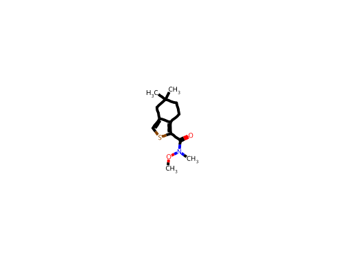 CON(C)C(=O)c1scc2c1CCC(C)(C)C2